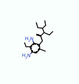 C=C(Cc1c(C)cc(N)c(CC)c1N)C(CC)C(CC)CC